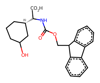 O=C(NC(C(=O)O)[C@H]1CCCC(O)C1)OCC1c2ccccc2-c2ccccc21